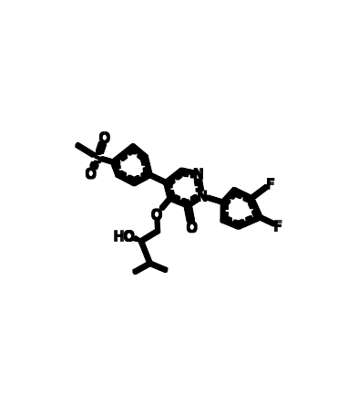 CC(C)[C@@H](O)COc1c(-c2ccc(S(C)(=O)=O)cc2)cnn(-c2ccc(F)c(F)c2)c1=O